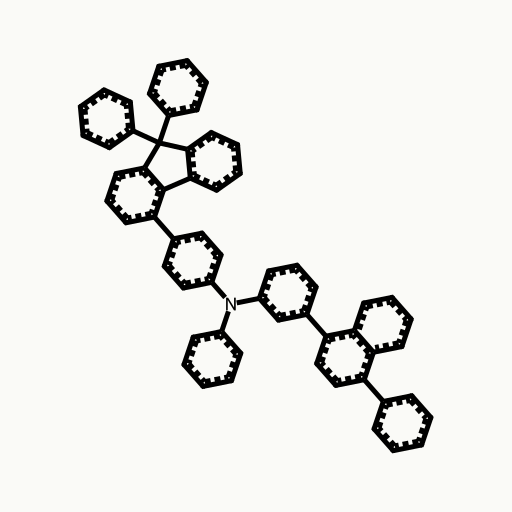 c1ccc(-c2ccc(-c3cccc(N(c4ccccc4)c4ccc(-c5cccc6c5-c5ccccc5C6(c5ccccc5)c5ccccc5)cc4)c3)c3ccccc23)cc1